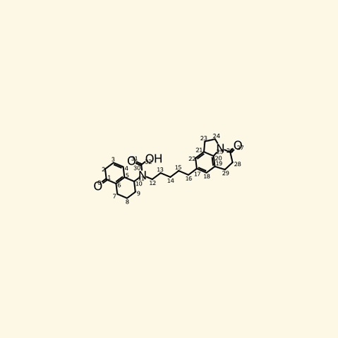 O=C1CC=CC2=C1CCCC2N(CCCCCc1cc2c3c(c1)CCN3C(=O)CC2)C(=O)O